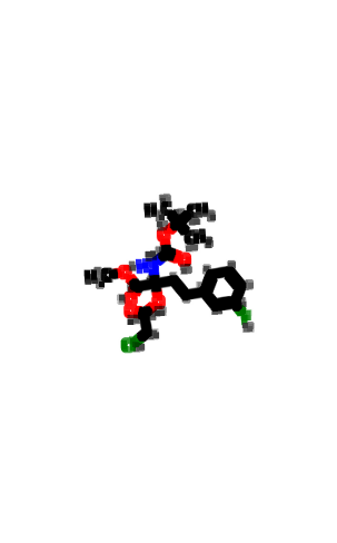 COC(=O)C(CCc1cccc(F)c1)(NC(=O)OC(C)(C)C)OC(=O)CCl